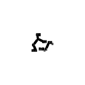 CCCCOB(O)O.CCOC(C)=O